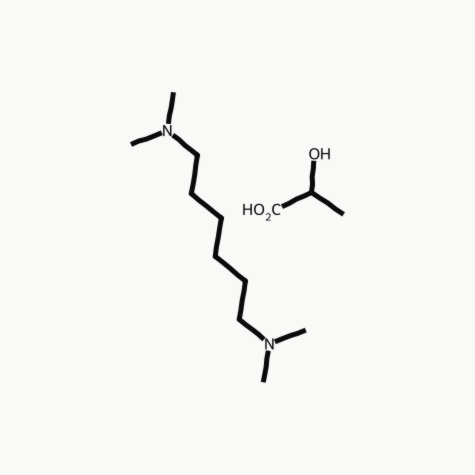 CC(O)C(=O)O.CN(C)CCCCCCN(C)C